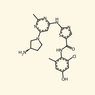 Cc1nc(Nc2ncc(C(=O)Nc3c(C)cc(O)cc3Cl)s2)cc(N2CC[C@@H](N)C2)n1